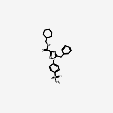 NS(=O)(=O)c1ccc(-n2nc(C(=O)NCC3CCCCC3)nc2Cc2ccccc2)cc1